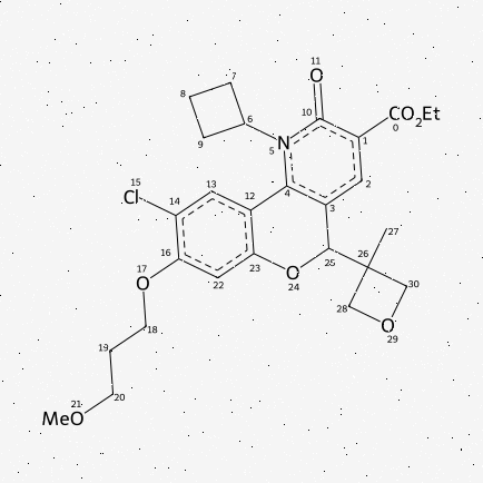 CCOC(=O)c1cc2c(n(C3CCC3)c1=O)-c1cc(Cl)c(OCCCOC)cc1OC2C1(C)COC1